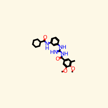 COc1cc(C(=O)NC(=N)Nc2cccc(NC(=O)C3CCCCC3)c2)cc(C)c1OC